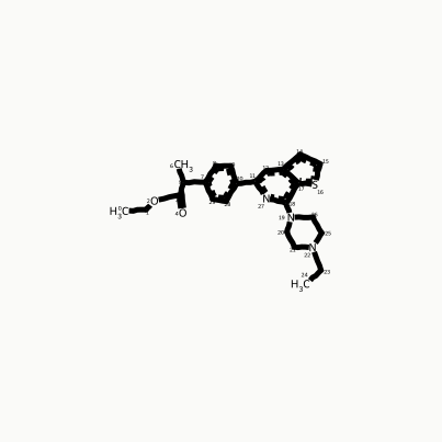 CCOC(=O)C(C)c1ccc(-c2cc3ccsc3c(N3CCN(CC)CC3)n2)cc1